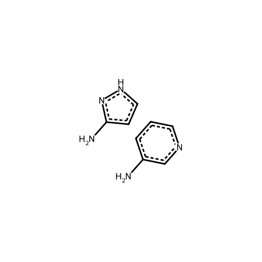 Nc1cc[nH]n1.Nc1cccnc1